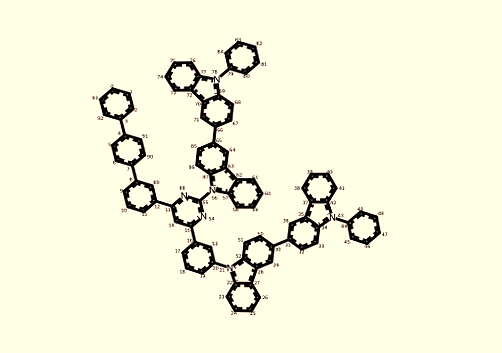 c1ccc(-c2ccc(-c3cccc(-c4cc(-c5cccc(-n6c7ccccc7c7cc(-c8ccc9c(c8)c8ccccc8n9-c8ccccc8)ccc76)c5)nc(-n5c6ccccc6c6cc(-c7ccc8c(c7)c7ccccc7n8-c7ccccc7)ccc65)n4)c3)cc2)cc1